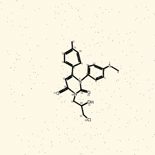 CSc1ccc(-n2c(-c3ccc(C)cc3)cc(=O)n(CC(O)CCl)c2=O)cc1